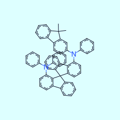 CC1(C)c2ccccc2-c2ccc(N(c3ccccc3)c3cccc4c3-c3ccccc3C43c4ccccc4-c4cccc(N(c5ccccc5)c5ccccc5)c43)cc21